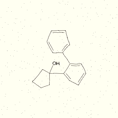 OC1(c2ccccc2-c2ccccc2)CCCC1